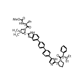 CCN(CC)[C@@H](C(=O)N1CCC[C@H]1c1ncc(-c2ccc(-c3ccc(-c4ccc5[nH]c([C@@H]6C[Si](C)(C)CN6C(=O)[C@@H](NC(=O)OC)C(C)C)nc5c4)cc3)cc2)[nH]1)c1ccccc1